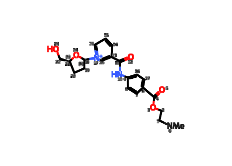 CNCCOC(=O)c1ccc(NC(=O)c2ccc[n+]([C@H]3CC[C@@H](CO)O3)c2)cc1